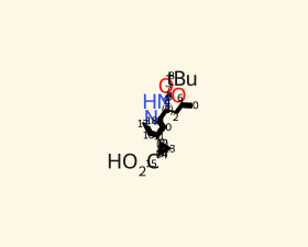 C=CC[C@H](NC(=O)OC(C)(C)C)c1cc([C@@H]2C[C@@H]2C(=O)O)ccn1